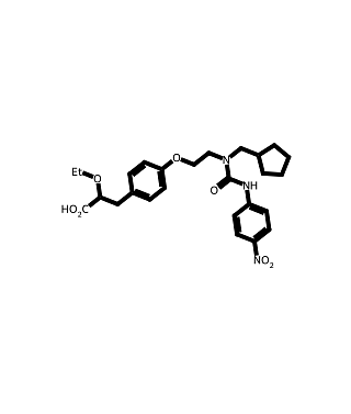 CCOC(Cc1ccc(OCCN(CC2CCCC2)C(=O)Nc2ccc([N+](=O)[O-])cc2)cc1)C(=O)O